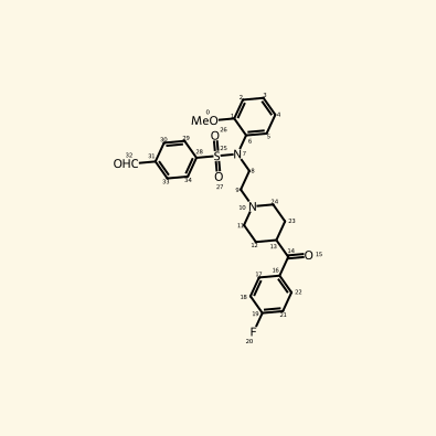 COc1ccccc1N(CCN1CCC(C(=O)c2ccc(F)cc2)CC1)S(=O)(=O)c1ccc(C=O)cc1